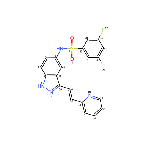 O=S(=O)(Nc1ccc2[nH]nc(C=Cc3ccccn3)c2c1)c1cc(F)cc(F)c1